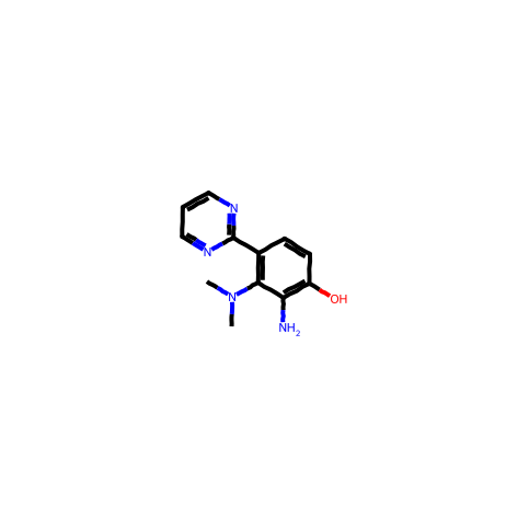 CN(C)c1c(-c2ncccn2)ccc(O)c1N